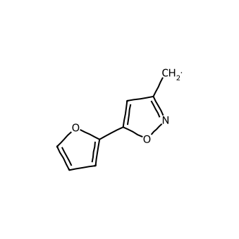 [CH2]c1cc(-c2ccco2)on1